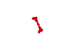 CC1(C)c2ccccc2-c2ccc(N(c3ccccc3)c3ccc4c(c3)C(C)(C)c3cc(/C=C/c5ccc6cc(/C=C/c7ccc8c(c7)C(C)(C)c7cc(N(c9ccccc9)c9ccc%10c(c9)C(C)(C)c9ccccc9-%10)ccc7-8)ccc6c5)ccc3-4)cc21